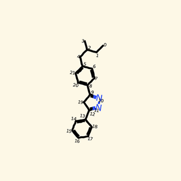 CCC(C)Cc1ccc(C2=NN=C(c3ccccc3)C2)cc1